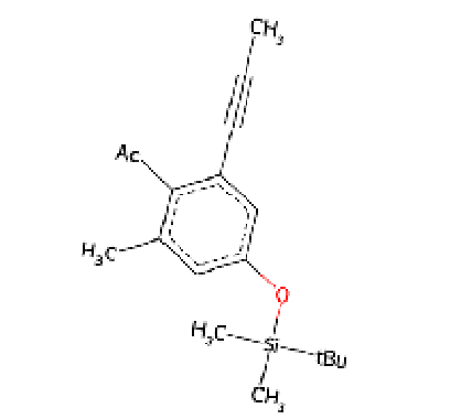 CC#Cc1cc(O[Si](C)(C)C(C)(C)C)cc(C)c1C(C)=O